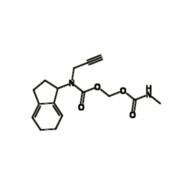 C#CCN(C(=O)OCOC(=O)NC)C1CCC2=CCCC=C21